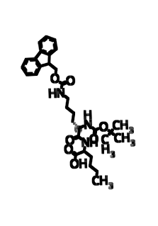 CCCCC(NC(=O)[C@H](CCCCNC(=O)OCC1c2ccccc2-c2ccccc21)NC(=O)OC(C)(C)C)C(=O)O